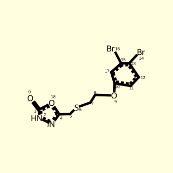 O=c1[nH]nc(CSCCOc2ccc(Br)c(Br)c2)o1